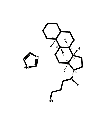 CC(C)CCCC(C)[C@H]1CC[C@H]2[C@@H]3CCC4CCCC[C@]4(C)[C@H]3CC[C@]12C.c1c[nH]cn1